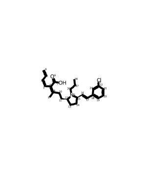 C=C/C=C\C(C(=O)O)=C(/C)CC[C@@H]1CC[C@H](C=Cc2cccc(Cl)c2)N1CCC